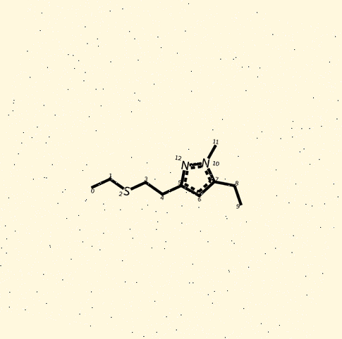 CCSCCc1cc(CC)n(C)n1